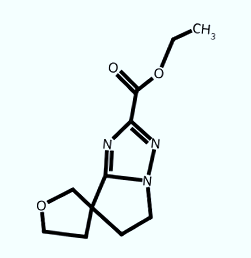 CCOC(=O)c1nc2n(n1)CCC21CCOC1